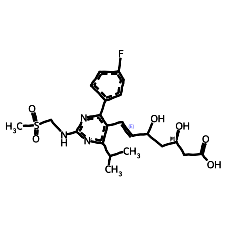 CC(C)c1nc(NCS(C)(=O)=O)nc(-c2ccc(F)cc2)c1/C=C/C(O)C[C@@H](O)CC(=O)O